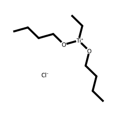 CCCC[O][Ti+]([CH2]C)[O]CCCC.[Cl-]